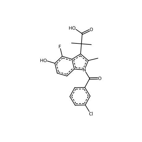 Cc1c(C(C)(C)C(=O)O)c2c(F)c(O)ccc2n1C(=O)c1cccc(Cl)c1